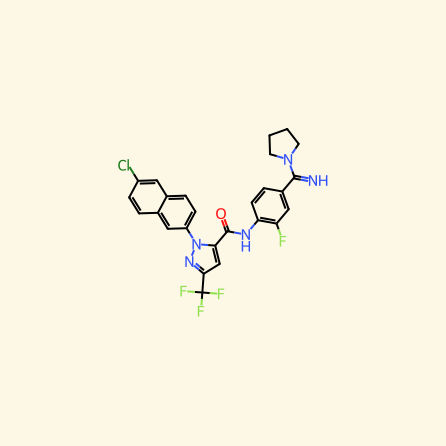 N=C(c1ccc(NC(=O)c2cc(C(F)(F)F)nn2-c2ccc3cc(Cl)ccc3c2)c(F)c1)N1CCCC1